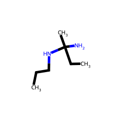 CCCNC(C)(N)CC